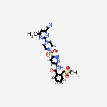 Cc1cc(C#N)nc(N2CCN(S(=O)(=O)c3ccc(NC(=O)c4ccccc4CS(C)(=O)=O)nn3)CC2)n1